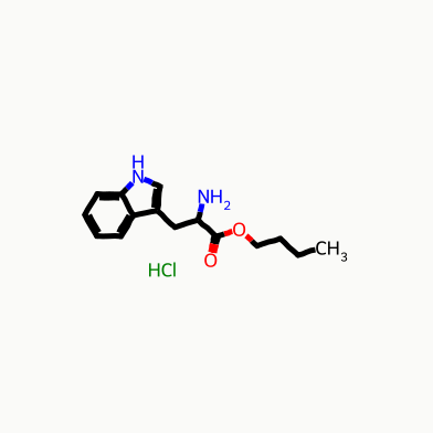 CCCCOC(=O)C(N)Cc1c[nH]c2ccccc12.Cl